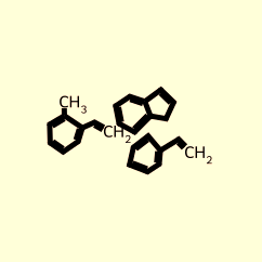 C1=Cc2ccccc2C1.C=Cc1ccccc1.C=Cc1ccccc1C